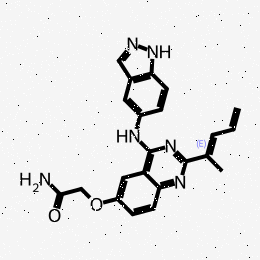 C=C/C=C(\C)c1nc(Nc2ccc3[nH]ncc3c2)c2cc(OCC(N)=O)ccc2n1